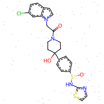 O=C(Cn1ccc2ccc(Cl)cc21)N1CCC(O)(c2ccc([S+]([O-])Nc3nccs3)cc2)CC1